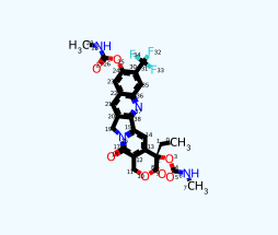 CC[C@@]1(OC(=O)NC)C(=O)OCc2c1cc1n(c2=O)Cc2cc3cc(OC(=O)NC)c(C(F)(F)F)cc3nc2-1